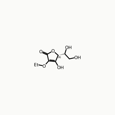 CCOC1=C(O)[C@@H](C(O)CO)OC1=O